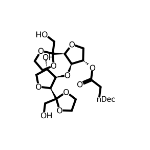 CCCCCCCCCCCC(=O)O[C@H]1CO[C@H](C2(CO)OCCO2)[C@@H]1O[C@@H]1[C@@H](O)CO[C@@H]1C1(CO)OCCO1